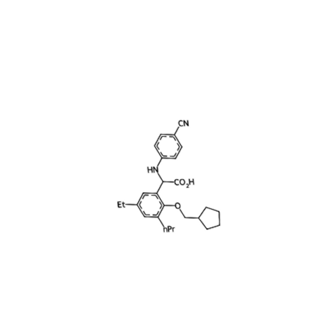 CCCc1cc(CC)cc(C(Nc2ccc(C#N)cc2)C(=O)O)c1OCC1CCCC1